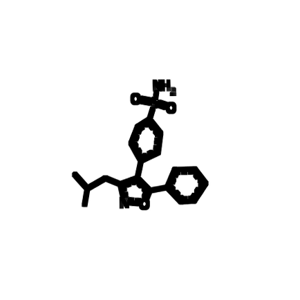 CC(C)Cc1noc(-c2ccccc2)c1-c1ccc(S(N)(=O)=O)cc1